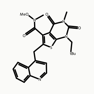 CON(C)C(=O)c1c(Cc2ccnc3ccccc23)sc2c1c(=O)n(C)c(=O)n2CC(C)(C)C